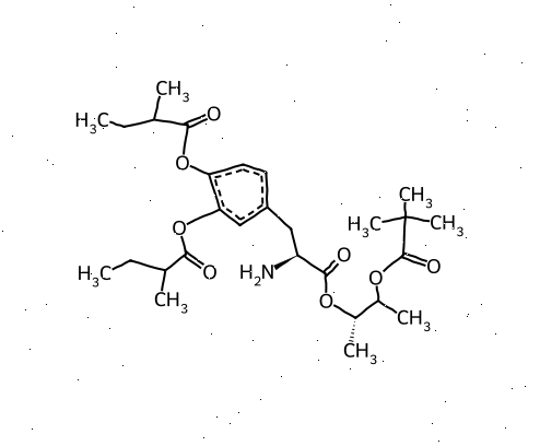 CCC(C)C(=O)Oc1ccc(C[C@H](N)C(=O)O[C@@H](C)C(C)OC(=O)C(C)(C)C)cc1OC(=O)C(C)CC